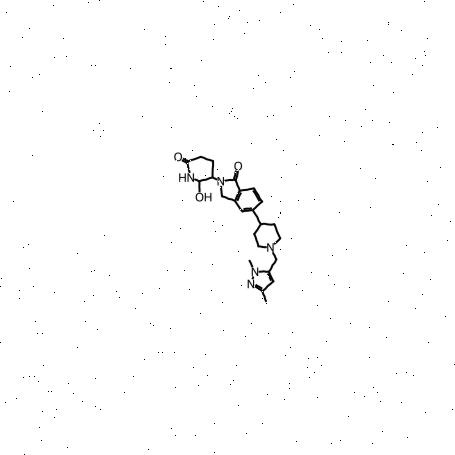 Cc1cc(CN2CCC(c3ccc4c(c3)CN(C3CCC(=O)NC3O)C4=O)CC2)n(C)n1